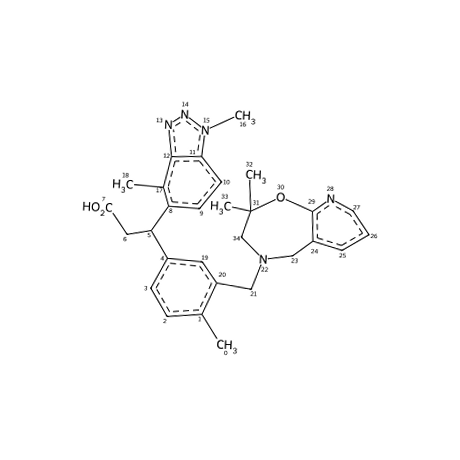 Cc1ccc(C(CC(=O)O)c2ccc3c(nnn3C)c2C)cc1CN1Cc2cccnc2OC(C)(C)C1